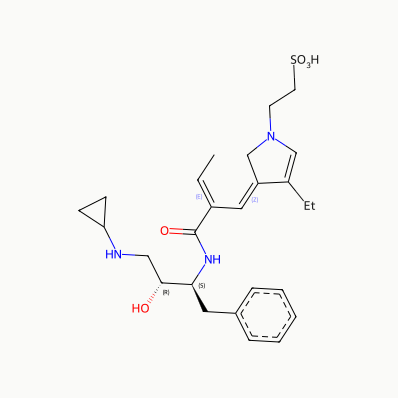 C/C=C(\C=C1/CN(CCS(=O)(=O)O)C=C1CC)C(=O)N[C@@H](Cc1ccccc1)[C@H](O)CNC1CC1